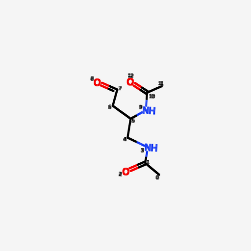 CC(=O)NCC(CC=O)NC(C)=O